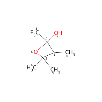 CC1C(C)(C)OC1(O)C(F)(F)F